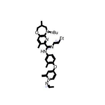 C=C1C=C(Oc2ccc(N/C(=N/C=C/CC)c3nc4c(cc3C)OCC(C)CN4CCCC)cc2C)C=CN1/N=C\C